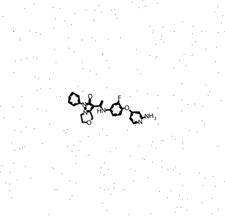 C=C(Nc1ccc(Oc2ccnc(N)c2)c(F)c1)c1c2n(n(-c3ccccc3)c1=O)CCOC2